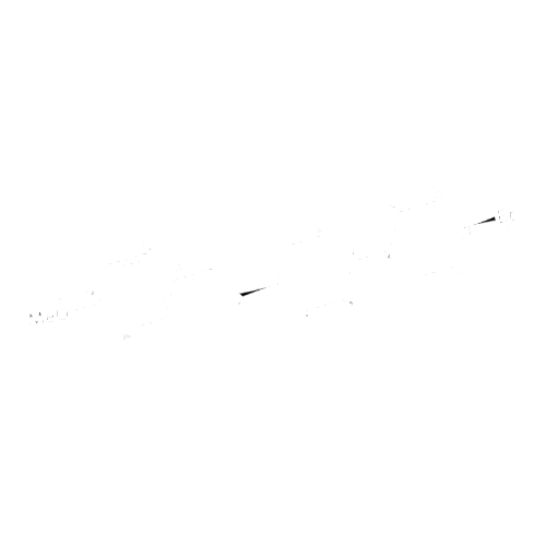 CC[C@H]1CC[C@H]([C@H]2CC[C@H](CCc3ccc(OC)cc3)CC2)CC1